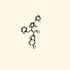 Cn1c(-c2cccs2)cnc1C(Cc1ccccn1)N(C=O)c1cc2cc(Cl)ccc2o1